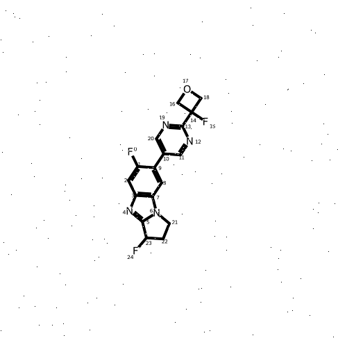 Fc1cc2nc3n(c2cc1-c1cnc(C2(F)COC2)nc1)CCC3F